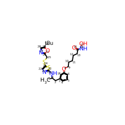 CC(Cc1cccc(OCCCCCC(=O)NO)c1)Nc1ncc(SCc2ncc(C(C)(C)C)o2)s1